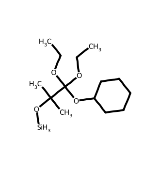 CCOC(OCC)(OC1CCCCC1)C(C)(C)O[SiH3]